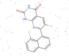 O=c1[nH]c(=O)c2cc(F)c(-c3cccc4cccc(F)c34)nc2[nH]1